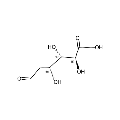 O=CC[C@@H](O)[C@H](O)[C@H](O)C(=O)O